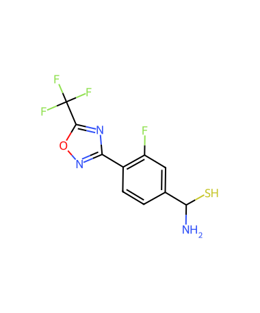 NC(S)c1ccc(-c2noc(C(F)(F)F)n2)c(F)c1